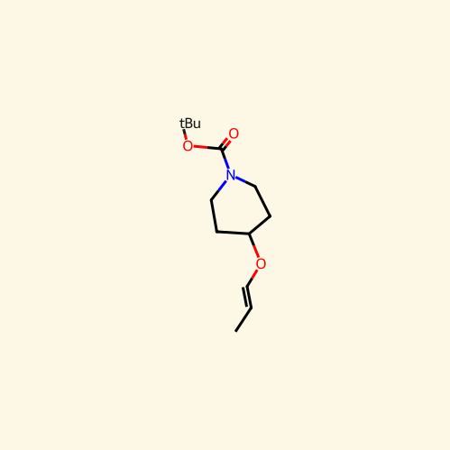 CC=COC1CCN(C(=O)OC(C)(C)C)CC1